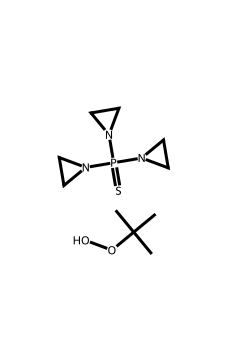 CC(C)(C)OO.S=P(N1CC1)(N1CC1)N1CC1